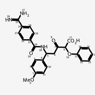 COc1ccc(C(CC(=O)C(Oc2ccccc2)C(=O)O)NC(=O)c2ccc(C(=N)N)cc2)cc1